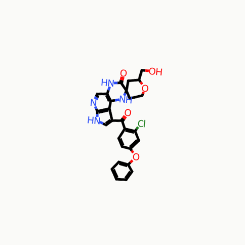 O=C(c1ccc(Oc2ccccc2)cc1Cl)c1c[nH]c2ncc3c(c12)NC1(CCOC(CO)C1)C(=O)N3